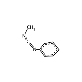 CN=C=Nc1ccccc1